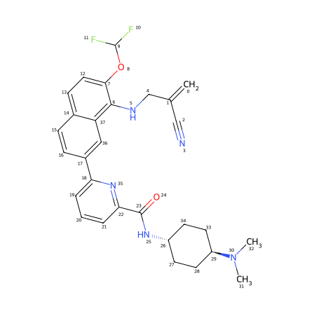 C=C(C#N)CNc1c(OC(F)F)ccc2ccc(-c3cccc(C(=O)N[C@H]4CC[C@H](N(C)C)CC4)n3)cc12